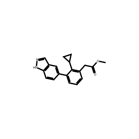 COC(=O)Cc1cccc(-c2ccc3[nH]ncc3c2)c1C1CC1